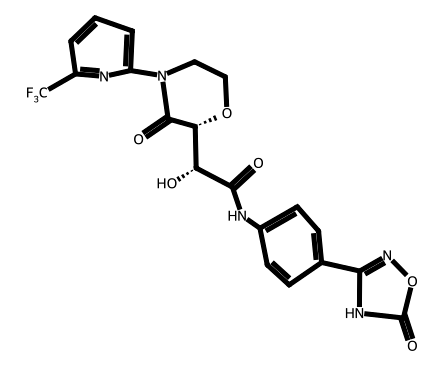 O=C(Nc1ccc(-c2noc(=O)[nH]2)cc1)[C@H](O)[C@H]1OCCN(c2cccc(C(F)(F)F)n2)C1=O